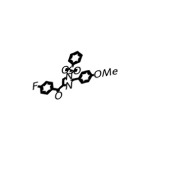 COc1ccc(C2=NC(C(=O)c3ccc(F)cc3)CN2S(=O)(=O)c2ccccc2)cc1